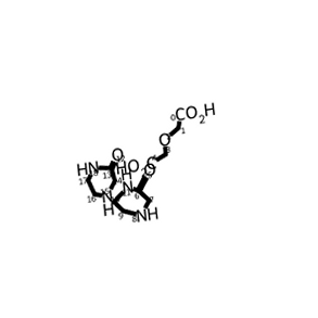 O=C(O)COCC(=O)O.O=C1CNCCN1.O=C1CNCCN1